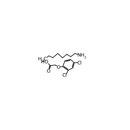 CCCCCCCCN.O=C(O)COc1ccc(Cl)cc1Cl